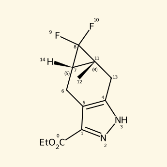 CCOC(=O)c1n[nH]c2c1C[C@@H]1C(F)(F)[C@]1(C)C2